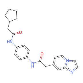 O=C(Cc1ccn2ccnc2c1)Nc1ccc(NC(=O)CC2CCCC2)cc1